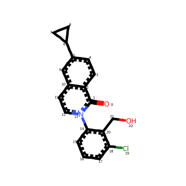 O=c1c2ccc(C3CC3)cc2ccn1-c1cccc(Cl)c1CO